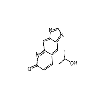 CC(C)O.O=C1C=Cc2cc3c(cc2=N1)N=CN=3